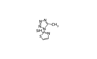 Cc1nnnn1-c1nccs1.[SiH4]